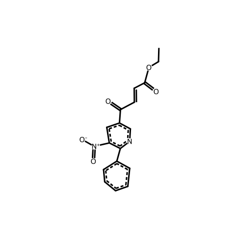 CCOC(=O)C=CC(=O)c1cnc(-c2ccccc2)c([N+](=O)[O-])c1